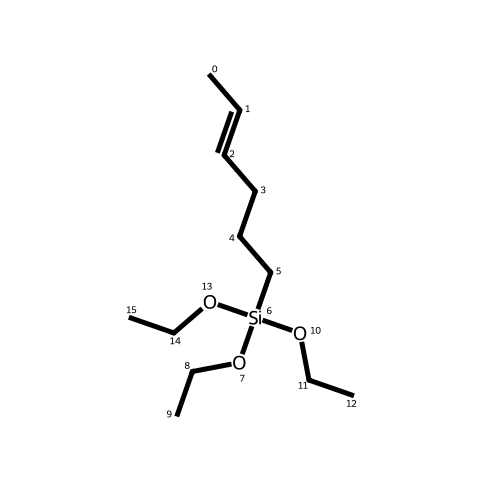 C/C=C/CCC[Si](OCC)(OCC)OCC